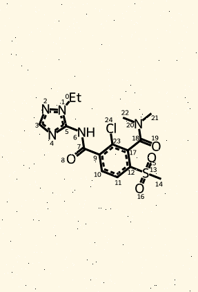 CCn1ncnc1NC(=O)c1ccc(S(C)(=O)=O)c(C(=O)N(C)C)c1Cl